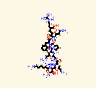 Cc1cccc(CC(NC(=O)[C@@H]2CCCN2C(=O)[C@@H](CCCN)NC(=O)CNC(=O)[C@H](CCCN)NC(=O)[C@@H](NC(=O)[C@@H](N)CCCCN)[C@@H](O)CN)C(=O)N[C@@H](CCCCN)C(=O)CCC(CCCNC(=N)N)C(=O)O)c1